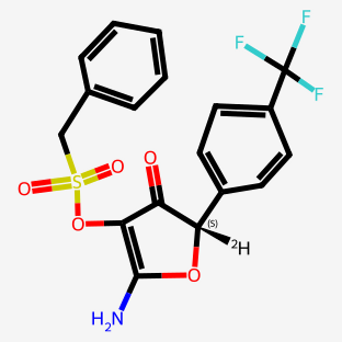 [2H][C@@]1(c2ccc(C(F)(F)F)cc2)OC(N)=C(OS(=O)(=O)Cc2ccccc2)C1=O